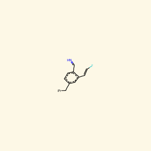 CC(C)Cc1ccc(C=N)c(/C=C/F)c1